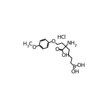 COc1ccc(OCCC(N)(CCCCB(O)O)C(=O)O)cc1.Cl